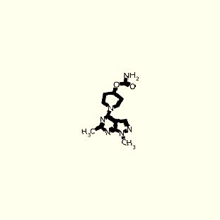 Cc1nc(N2CCC(OC(N)=O)CC2)c2cnn(C)c2n1